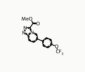 COC(=O)c1nnc2ccc(-c3ccc(OC(F)(F)F)cc3)cn12